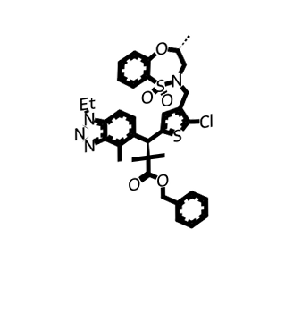 CCn1nnc2c(C)c([C@@H](c3cc(CN4C[C@@H](C)Oc5ccccc5S4(=O)=O)c(Cl)s3)C(C)(C)C(=O)OCc3ccccc3)ccc21